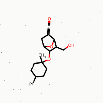 CC(C)C1CCC(C)(OC2C3CC(=C=O)C(O3)C2CO)CC1